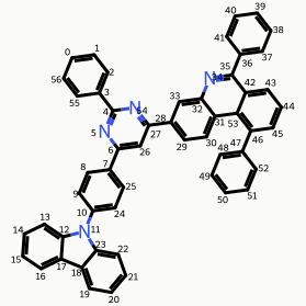 c1ccc(-c2nc(-c3ccc(-n4c5ccccc5c5ccccc54)cc3)cc(-c3ccc4c(c3)nc(-c3ccccc3)c3cccc(-c5ccccc5)c34)n2)cc1